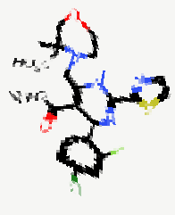 COC(=O)C1=C(CN2CCOCC2(C)C(=O)O)NC(c2nccs2)=N[C@H]1c1ccc(Cl)cc1F